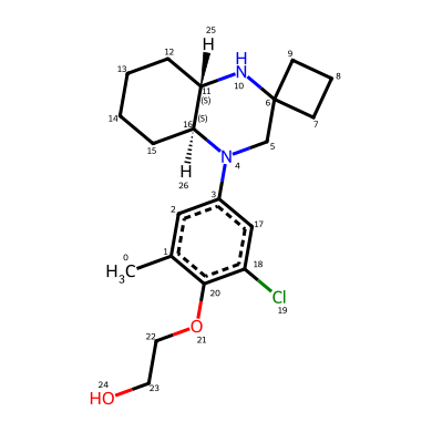 Cc1cc(N2CC3(CCC3)N[C@H]3CCCC[C@@H]32)cc(Cl)c1OCCO